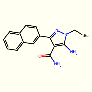 CC(C)(C)Cn1nc(-c2ccc3ccccc3c2)c(C(N)=O)c1N